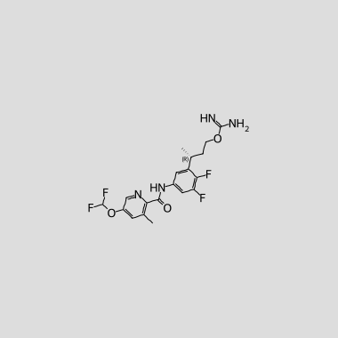 Cc1cc(OC(F)F)cnc1C(=O)Nc1cc(F)c(F)c([C@H](C)CCOC(=N)N)c1